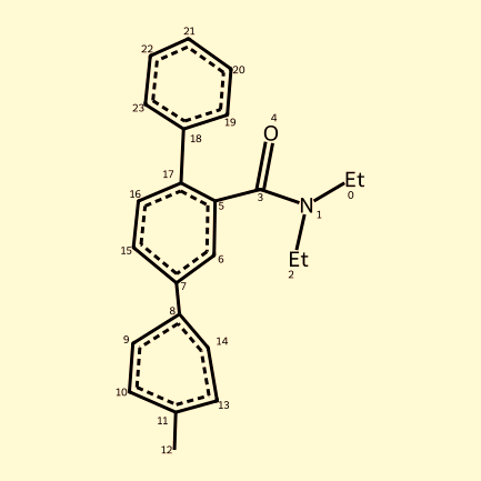 CCN(CC)C(=O)c1cc(-c2ccc(C)cc2)ccc1-c1ccccc1